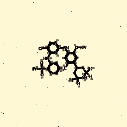 [2H]C1([2H])CC(c2cc(OC(C)C)c(Nc3ncc(Cl)c(Nc4ccccc4S(=O)(=O)C(C)C)n3)cc2C)CC([2H])([2H])N1